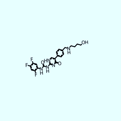 O=C(Nc1nc(=O)c(-c2ccc(CNCCCCO)cc2)c[nH]1)Nc1cc(F)c(F)cc1F